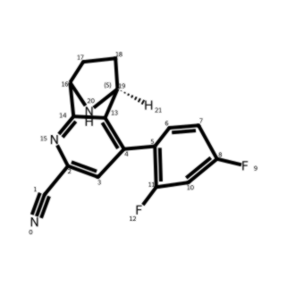 N#Cc1cc(-c2ccc(F)cc2F)c2c(n1)C1CC[C@@H]2N1